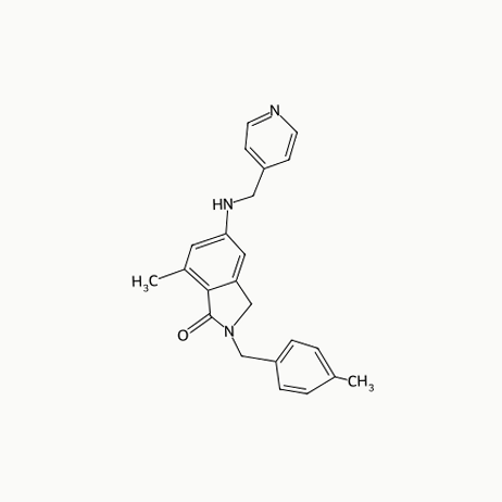 Cc1ccc(CN2Cc3cc(NCc4ccncc4)cc(C)c3C2=O)cc1